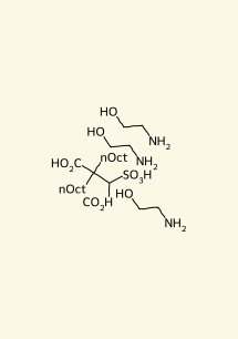 CCCCCCCCC(CCCCCCCC)(C(=O)O)C(C(=O)O)S(=O)(=O)O.NCCO.NCCO.NCCO